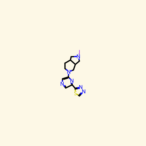 IN1CC2CCN(c3cncc(-c4nncs4)n3)CC2C1